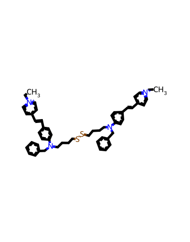 CC[n+]1ccc(/C=C/c2ccc(N(CCCCSSCCCCN(Cc3ccccc3)c3ccc(/C=C/c4cc[n+](CC)cc4)cc3)Cc3ccccc3)cc2)cc1